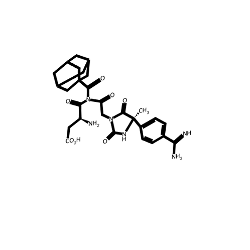 C[C@]1(c2ccc(C(=N)N)cc2)NC(=O)N(CC(=O)N(C(=O)[C@@H](N)CC(=O)O)C(=O)C23CC4CC(CC(C4)C2)C3)C1=O